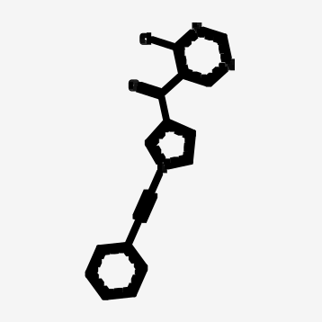 O=C(c1ccn(C#Cc2ccccc2)c1)c1cncnc1Cl